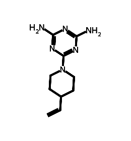 C=CC1CCN(c2nc(N)nc(N)n2)CC1